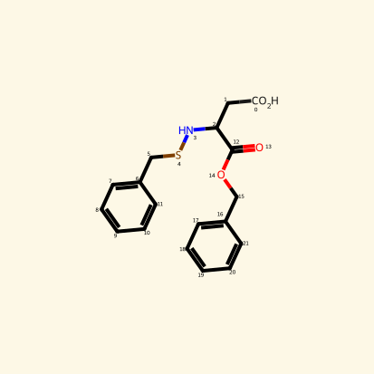 O=C(O)CC(NSCc1ccccc1)C(=O)OCc1ccccc1